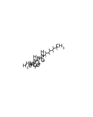 CCCCCCCCNC(=O)N=C(NC(=O)NC)SC